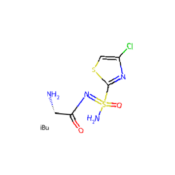 CC[C@H](C)[C@H](N)C(=O)N=S(N)(=O)c1nc(Cl)cs1